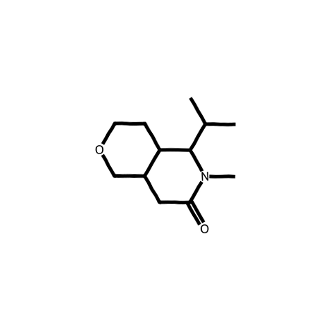 CC(C)C1C2CCOCC2CC(=O)N1C